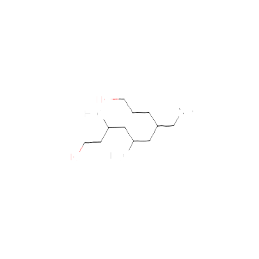 CC(CCO)CC(C)CC(CCCO)CN=O